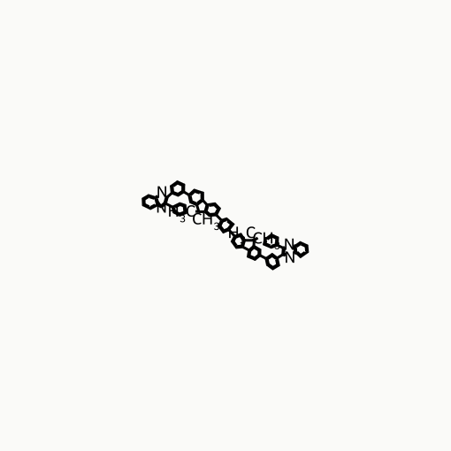 CC1(C)c2cc(-c3ccc(-c4ccc5c(c4)C(C)(C)c4cc(-c6cccc(-c7nc8ccccc8nc7-c7ccccc7)c6)ccc4-5)cc3)ccc2-c2ccc(-c3cccc(-c4nc5ccccc5nc4-c4ccccc4)c3)cc21